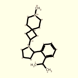 CC(C)c1ccccc1C1CCCN1C1CC2(CCN(C)CC2)C1